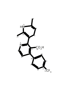 CC1=CCC(c2nccc(-c3ccc(C(F)(F)F)cc3)c2C(=O)O)=C(C)N1